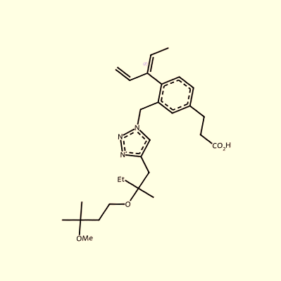 C=C/C(=C/C)c1ccc(CCC(=O)O)cc1Cn1cc(CC(C)(CC)OCCC(C)(C)OC)nn1